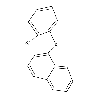 [S]c1ccccc1Sc1cccc2ccccc12